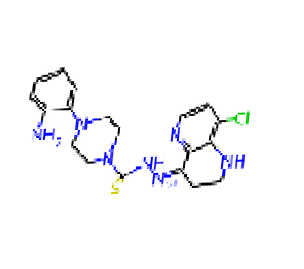 Nc1ccccc1N1CCN(C(=S)N/N=C2/CCNc3c(Cl)ccnc32)CC1